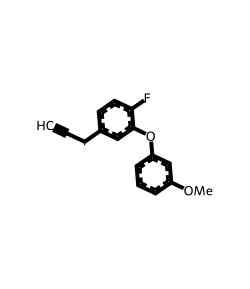 C#C[CH]c1ccc(F)c(Oc2cccc(OC)c2)c1